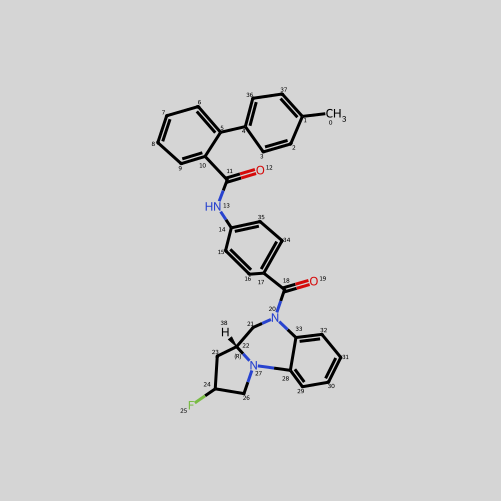 Cc1ccc(-c2ccccc2C(=O)Nc2ccc(C(=O)N3C[C@H]4CC(F)CN4c4ccccc43)cc2)cc1